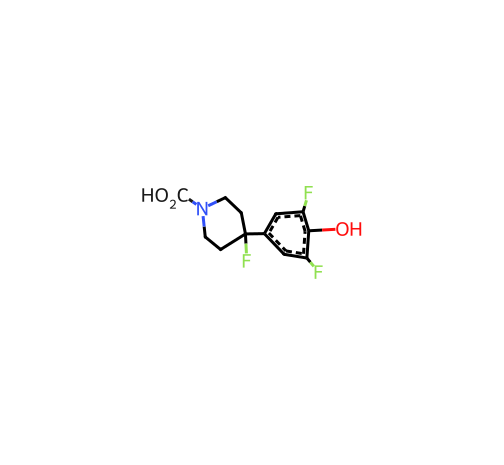 O=C(O)N1CCC(F)(c2cc(F)c(O)c(F)c2)CC1